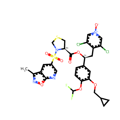 Cc1noc2ncc(S(=O)(=O)N3CSC[C@H]3C(=O)O[C@@H](Cc3c(Cl)c[n+]([O-])cc3Cl)c3ccc(OC(F)F)c(OCC4CC4)c3)cc12